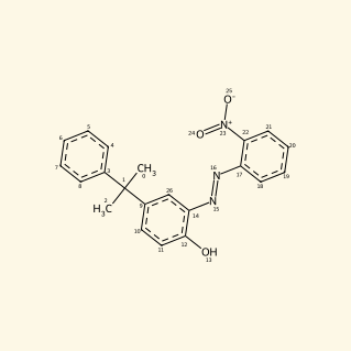 CC(C)(c1ccccc1)c1ccc(O)c(N=Nc2ccccc2[N+](=O)[O-])c1